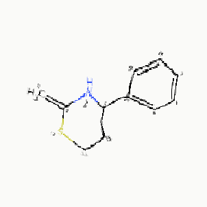 C=C1NC(c2ccccc2)CCS1